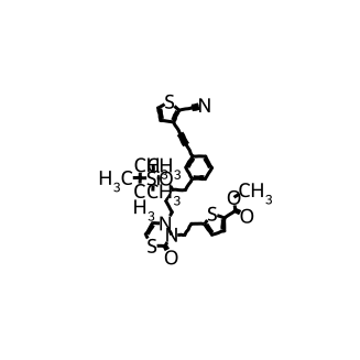 COC(=O)c1ccc(CCN2C(=O)SC=CN2CC[C@H](Cc2cccc(C#Cc3ccsc3C#N)c2)O[Si](C)(C)C(C)(C)C)s1